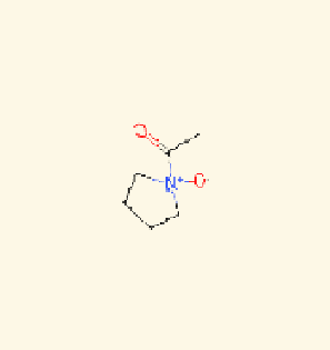 CC(=O)[N+]1([O])CCCC1